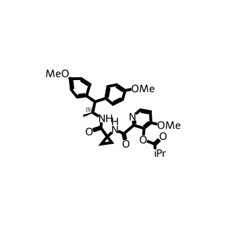 COc1ccc(C(c2ccc(OC)cc2)[C@H](C)NC(=O)C2(NC(=O)c3nccc(OC)c3OC(=O)C(C)C)CC2)cc1